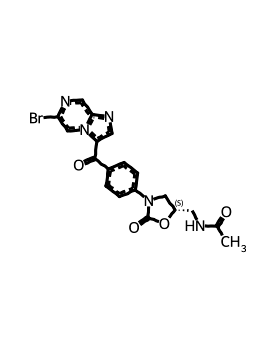 CC(=O)NC[C@H]1CN(c2ccc(C(=O)c3cnc4cnc(Br)cn34)cc2)C(=O)O1